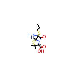 CCCSC1(N)C(=O)N2[C@@H](C(=O)O)C(C)(C)S[C@@H]21